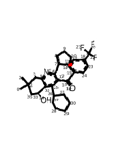 CC1(C)Cc2nc(C3CCCC3)c(C(=O)c3ccc(C(F)(F)F)cc3)c(C3CCCCC3)c2[C@@H](O)C1